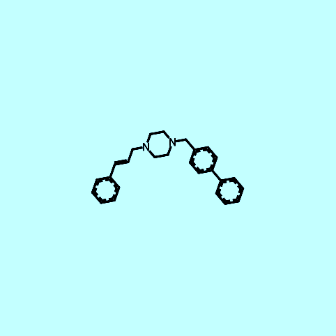 C(=C\c1ccccc1)/CN1CCN(Cc2ccc(-c3ccccc3)cc2)CC1